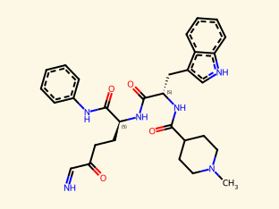 CN1CCC(C(=O)N[C@@H](Cc2c[nH]c3ccccc23)C(=O)N[C@@H](CCC(=O)C=N)C(=O)Nc2ccccc2)CC1